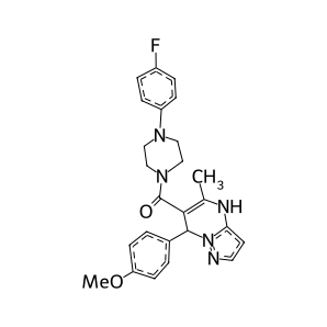 COc1ccc(C2C(C(=O)N3CCN(c4ccc(F)cc4)CC3)=C(C)Nc3ccnn32)cc1